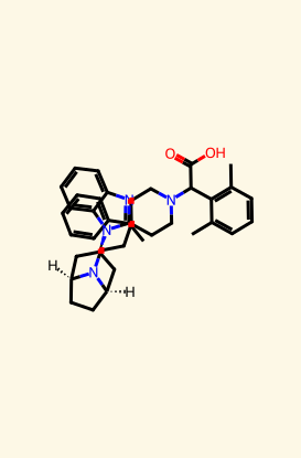 Cc1cccc(C)c1C(C(=O)O)N1CCC(CCN2[C@@H]3CC[C@H]2C[C@@H](n2c(C)nc4ccccc42)C3)(c2ccccc2)CC1